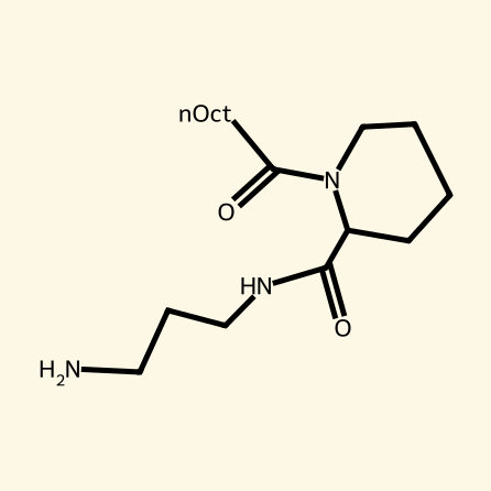 CCCCCCCCC(=O)N1CCCCC1C(=O)NCCCN